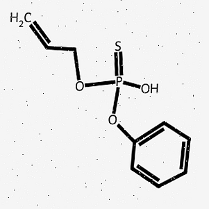 C=CCOP(O)(=S)Oc1ccccc1